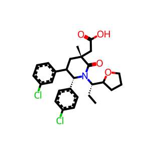 CC[C@@H](C1CCCO1)N1C(=O)[C@@](C)(CC(=O)O)CC(c2cccc(Cl)c2)[C@H]1c1ccc(Cl)cc1